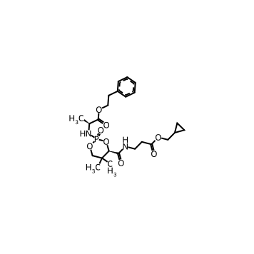 C[C@H](NP1(=O)OCC(C)(C)[C@H](C(=O)NCCC(=O)OCC2CC2)O1)C(=O)OCCc1ccccc1